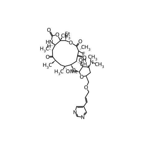 CC[C@H]1OC(=O)[C@@](C)(F)C(=O)[C@H](C)[C@@H](O[C@@H]2OC(COC/C=C/c3cncnc3)CC(N(C)C)C2O)[C@](C)(OC)C[C@@H](C)C(=O)[C@H](C)[C@H]2NC(=O)O[C@@]21C